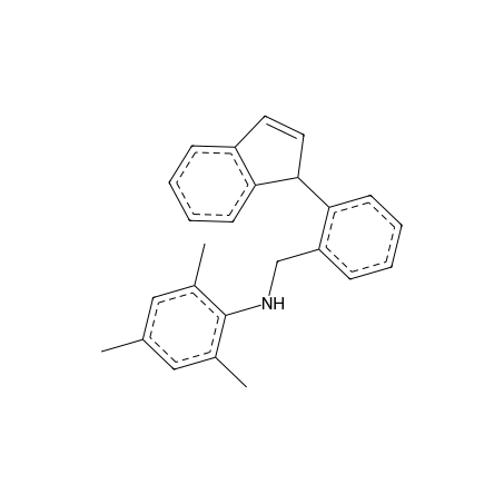 Cc1cc(C)c(NCc2ccccc2C2C=Cc3ccccc32)c(C)c1